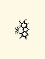 Cc1cc2c3c(c1C)OC(C)(C)Oc1c(C)c(C)cc(c1-3)C2